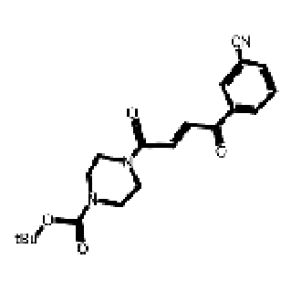 CC(C)(C)OC(=O)N1CCN(C(=O)/C=C/C(=O)c2cccc(C#N)c2)CC1